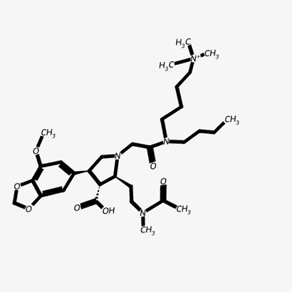 CCCCN(CCCC[N+](C)(C)C)C(=O)CN1C[C@H](c2cc(OC)c3c(c2)OCO3)[C@@H](C(=O)O)[C@@H]1CCN(C)C(C)=O